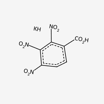 O=C(O)c1ccc([N+](=O)[O-])c([N+](=O)[O-])c1[N+](=O)[O-].[KH]